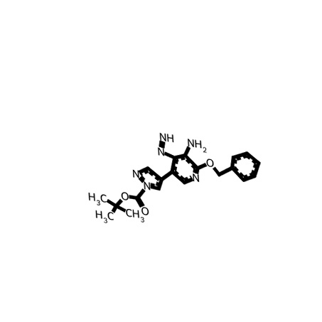 CC(C)(C)OC(=O)n1cc(-c2cnc(OCc3ccccc3)c(N)c2N=N)cn1